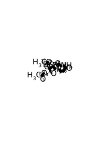 CC(=O)OC[C@H]1O[C@@H](n2ccc(=O)[nH]c2=O)[C@@](O)(Br)[C@@H]1OC(C)=O